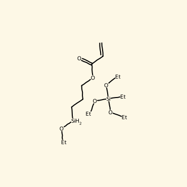 C=CC(=O)OCCC[SiH2]OCC.CCO[Si](CC)(OCC)OCC